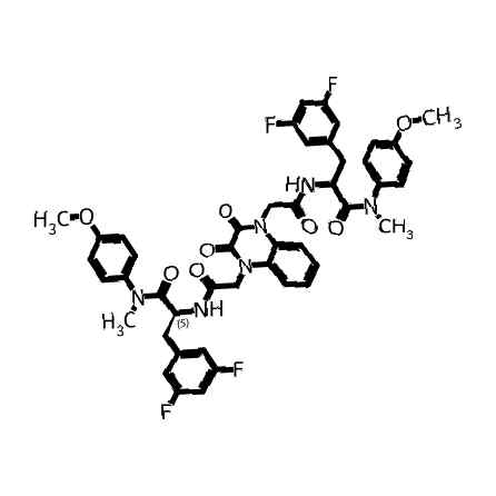 COc1ccc(N(C)C(=O)C(Cc2cc(F)cc(F)c2)NC(=O)Cn2c(=O)c(=O)n(CC(=O)N[C@@H](Cc3cc(F)cc(F)c3)C(=O)N(C)c3ccc(OC)cc3)c3ccccc32)cc1